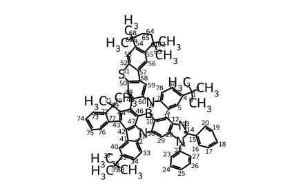 CC(C)(C)c1ccc(N2B3c4cc5nc(-c6ccccc6)n(-c6ccccc6)c5cc4-n4c5ccc(C(C)(C)C)cc5c5c6c(c(c3c54)-c3cc4sc5cc7c(cc5c4cc32)C(C)(C)CCC7(C)C)C(C)(C)c2ccccc2-6)cc1